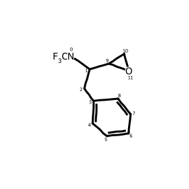 FC(F)(F)NC(Cc1ccccc1)C1CO1